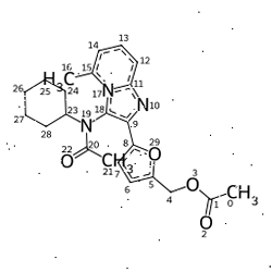 CC(=O)OCc1ccc(-c2nc3cccc(C)n3c2N(C(C)=O)C2CCCCC2)o1